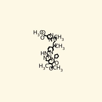 COC(=O)c1cnc(N(C)CCN(C)c2ccc(Nc3ncc4c(C)c(C(C)=O)c(=O)n(C5CCCC5)c4n3)nc2)nc1